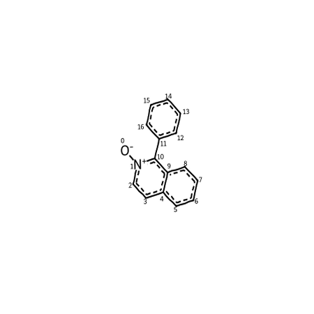 [O-][n+]1ccc2ccccc2c1-c1ccccc1